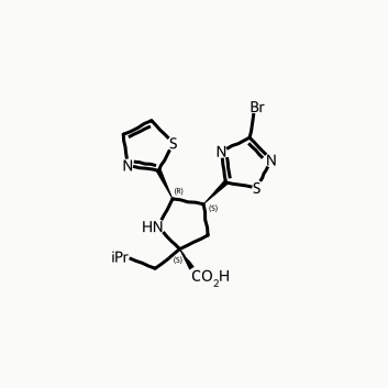 CC(C)C[C@@]1(C(=O)O)C[C@H](c2nc(Br)ns2)[C@H](c2nccs2)N1